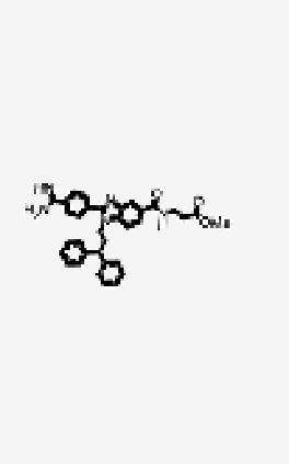 COC(=O)CCNC(=O)c1ccc2c(c1)nc(-c1ccc(C(=N)N)cc1)n2CCC(c1ccccc1)c1ccccc1